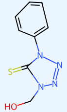 OCn1nnn(-c2ccccc2)c1=S